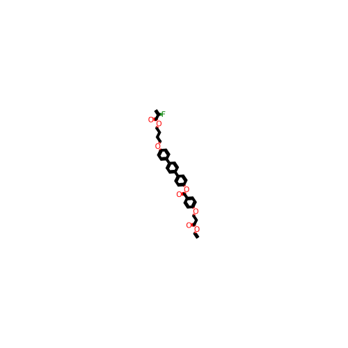 C=COC(=O)CCOc1ccc(C(=O)Oc2ccc(-c3ccc(-c4ccc(OCCCCOC(=O)C(=C)F)cc4)cc3)cc2)cc1